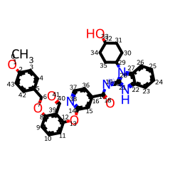 COc1ccc(COc2cccc(Oc3cc(C(=O)/N=c4\[nH]c5ccccc5n4C4CCC(O)CC4)ccn3)c2C=O)cc1